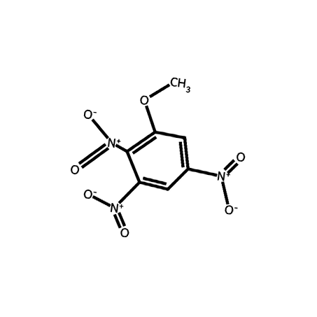 COc1cc([N+](=O)[O-])cc([N+](=O)[O-])c1[N+](=O)[O-]